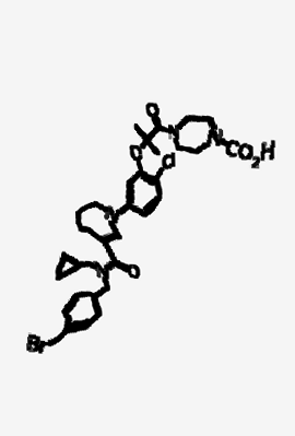 CC(C)(Oc1cc(N2CCCC(C(=O)N(Cc3ccc(Br)cc3)C3CC3)C2)ccc1Cl)C(=O)N1CCN(C(=O)O)CC1